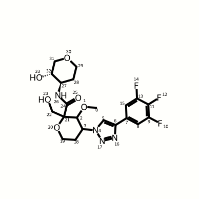 COC1C(n2cc(-c3cc(F)c(F)c(F)c3)nn2)CCOC1(CO)C(=O)N[C@@H]1CCOC[C@H]1O